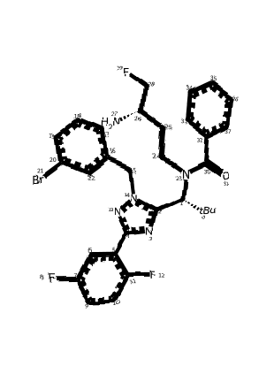 CC(C)(C)[C@H](c1nc(-c2cc(F)ccc2F)nn1Cc1cccc(Br)c1)N(CC[C@H](N)CF)C(=O)c1ccccc1